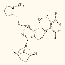 CN1CCC[C@H]1COc1nc2c(c(N3C[C@H]4CC[C@@H](C3)N4)n1)CCN(c1c(F)ccc(F)c1C(F)F)C2